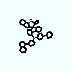 c1ccc(-c2ccc(N(c3cccc(-c4cccc5ccccc45)c3)c3cccc4c3-c3ccccc3C43c4ccccc4Oc4c3ccc3ccccc43)cc2)cc1